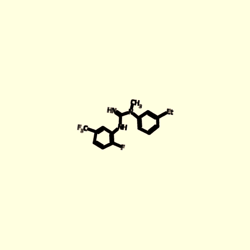 CCc1cccc(N(C)C(=N)Nc2cc(C(F)(F)F)ccc2F)c1